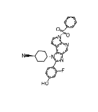 N#C[C@H]1CC[C@H](n2c(-c3ccc(O)cc3F)nc3cnc4c(ccn4S(=O)(=O)c4ccccc4)c32)CC1